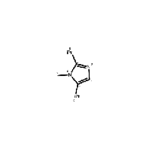 CC(C)c1cnc(C(C)C)n1C